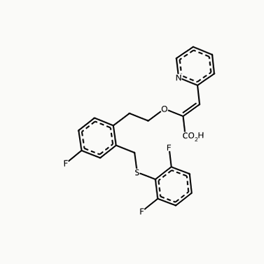 O=C(O)C(=Cc1ccccn1)OCCc1ccc(F)cc1CSc1c(F)cccc1F